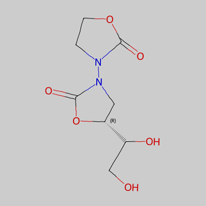 O=C1OCCN1N1C[C@H](C(O)CO)OC1=O